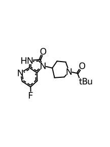 CC(C)(C)C(=O)N1CCC(n2c(=O)[nH]c3ncc(F)cc32)CC1